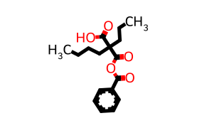 CCCCC(CCC)(C(=O)O)C(=O)OC(=O)c1ccccc1